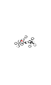 c1ccc(-c2cccc(N(c3ccc4c(c3)cc(-c3ccccc3)n3nc(-c5ccccc5)c(-c5ccccc5)c43)c3cccc4c3-c3ccccc3C4(c3ccccc3)c3ccccc3)c2)cc1